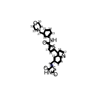 O=C1NC(=O)/C(=C/c2ccc3nccc(-c4ccc(C(=O)Nc5cccc(CN6CCOCC6)c5)s4)c3c2)S1